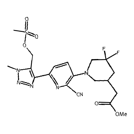 COC(=O)CC1CN(c2ccc(-c3nnn(C)c3COS(C)(=O)=O)nc2C#N)CC(F)(F)C1